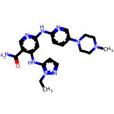 CCn1nccc1Nc1cc(Nc2ccc(N3CCN(C)CC3)cn2)ncc1C(N)=O